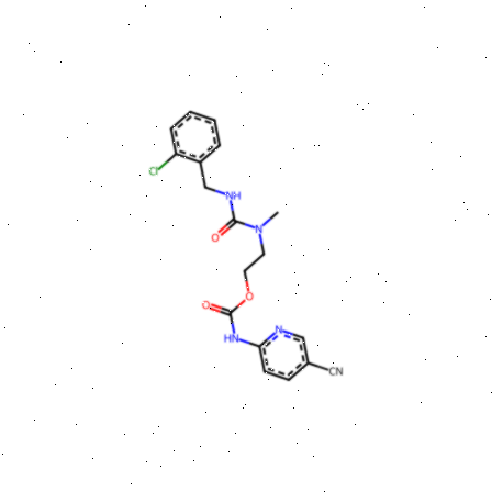 CN(CCOC(=O)Nc1ccc(C#N)cn1)C(=O)NCc1ccccc1Cl